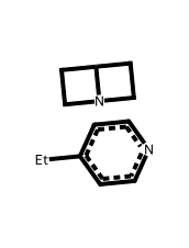 C1CN2CCC12.CCc1ccncc1